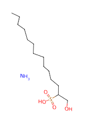 CCCCCCCCCCCCC(CO)S(=O)(=O)O.N